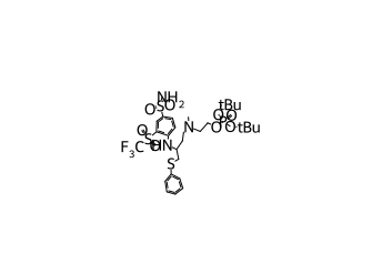 CN(CCOP(=O)(OC(C)(C)C)OC(C)(C)C)CCC(CSc1ccccc1)Nc1ccc(S(N)(=O)=O)cc1S(=O)(=O)C(F)(F)F